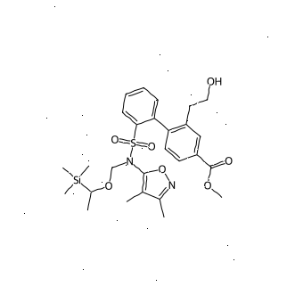 COC(=O)c1ccc(-c2ccccc2S(=O)(=O)N(COC(C)[Si](C)(C)C)c2onc(C)c2C)c(CCO)c1